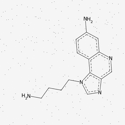 NCCCCn1cnc2cnc3cc(N)ccc3c21